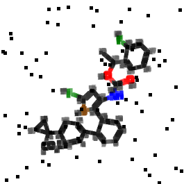 CCOC(=O)C1(c2ccc(-c3ccccc3-c3sc(F)cc3NC(=O)OC(C)c3ccccc3F)cc2)CC1